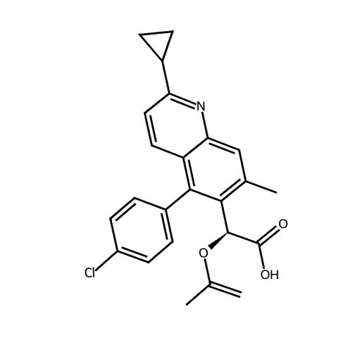 C=C(C)O[C@H](C(=O)O)c1c(C)cc2nc(C3CC3)ccc2c1-c1ccc(Cl)cc1